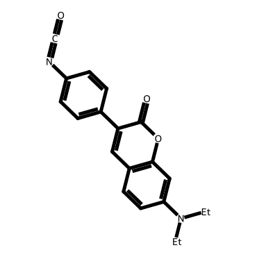 CCN(CC)c1ccc2cc(-c3ccc(N=C=O)cc3)c(=O)oc2c1